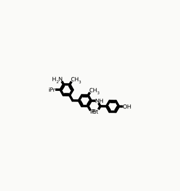 CCC(Nc1c(C)cc(Cc2cc(C)c(N)c(C(C)C)c2)cc1C(C)C)c1ccc(O)cc1